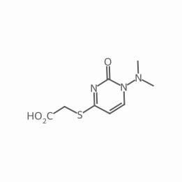 CN(C)n1ccc(SCC(=O)O)nc1=O